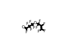 O=C(F)C(F)(F)C(F)(F)OC(F)(F)C(F)=C(F)F